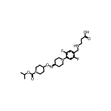 CC(C)OC(=O)N1CCC(ON=C2CCN(c3cc(F)c(CNCCC(=O)O)cc3F)CC2)CC1